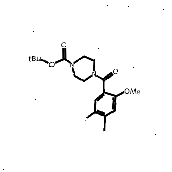 COc1cc(C)c(I)cc1C(=O)N1CCN(C(=O)OC(C)(C)C)CC1